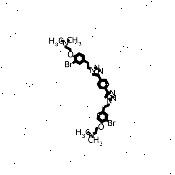 CN(C)CCOc1ccc(CCn2cc(-c3ccc(-c4cn(CCc5ccc(OCCN(C)C)c(Br)c5)nn4)cc3)nn2)cc1Br